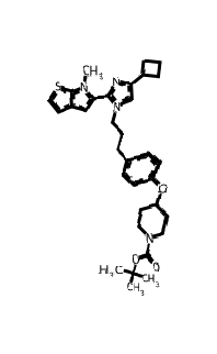 Cn1c(-c2nc(C3CCC3)cn2CCCc2ccc(OC3CCN(C(=O)OC(C)(C)C)CC3)cc2)cc2ccsc21